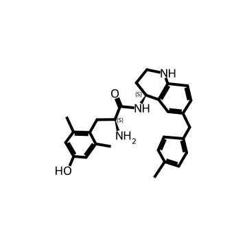 Cc1ccc(Cc2ccc3c(c2)[C@@H](NC(=O)[C@@H](N)Cc2c(C)cc(O)cc2C)CCN3)cc1